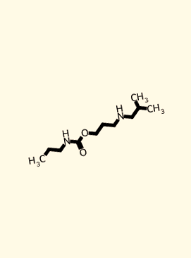 CCCNC(=O)OCCCNCC(C)C